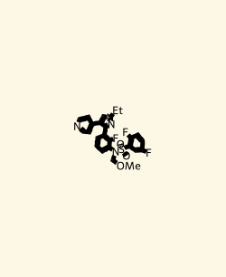 CCn1cc(-c2ccncc2)c(-c2cccc(N(COC)S(=O)(=O)c3cc(F)ccc3F)c2F)n1